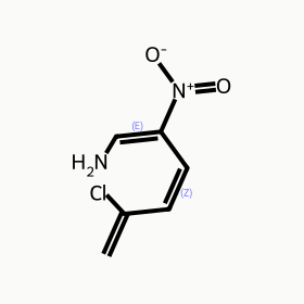 C=C(Cl)/C=C\C(=C/N)[N+](=O)[O-]